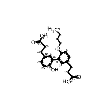 CCCCOc1ccc(CCC(=O)O)cc1-c1cc(CCC(=O)O)ccc1O